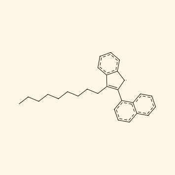 CCCCCCCCCC1=C(c2cccc3ccccc23)[CH]c2ccccc21